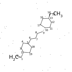 C=CC1CCC(CCCC[C@H]2CC[C@H](CC)CC2)CC1